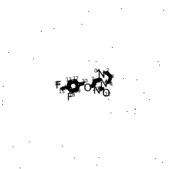 CN1CCCn2c1cc(OCc1ccc(CF)c(F)c1)nc2=O